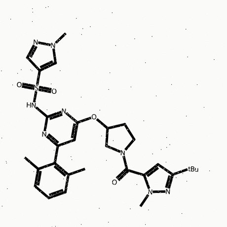 Cc1cccc(C)c1-c1cc(OC2CCN(C(=O)c3cc(C(C)(C)C)nn3C)C2)nc(NS(=O)(=O)c2cnn(C)c2)n1